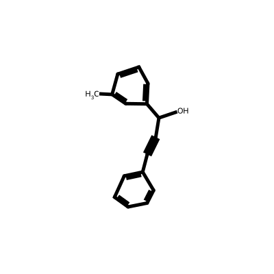 Cc1cccc(C(O)C#Cc2ccccc2)c1